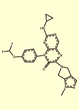 Cn1ncc2c1CN(c1nc3cnc(NC4CC4)nc3n(-c3ccc(OC(F)F)cc3)c1=O)C2